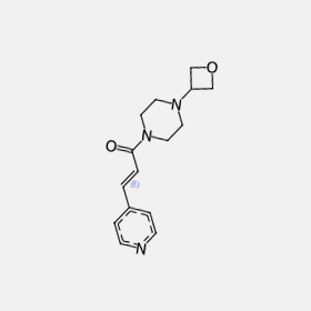 O=C(/C=C/c1ccncc1)N1CCN(C2COC2)CC1